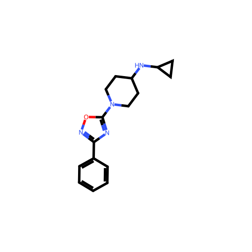 c1ccc(-c2noc(N3CCC(NC4CC4)CC3)n2)cc1